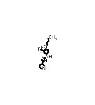 CCCCCOc1ccc(Nc2nc(C3CCCNC3)cs2)cc1C(F)(F)F